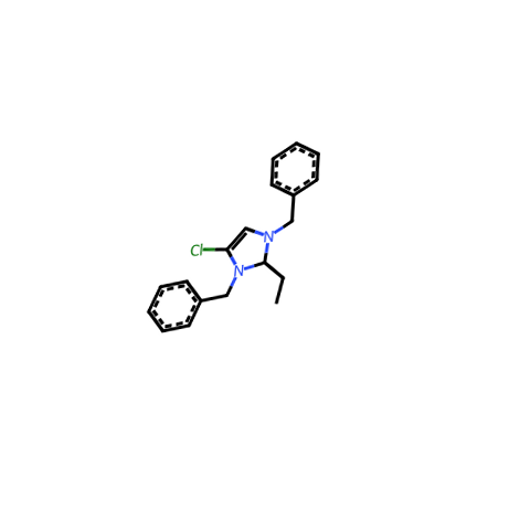 CCC1N(Cc2ccccc2)C=C(Cl)N1Cc1ccccc1